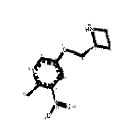 Cc1ncc(OC[C@@H]2CCN2)cc1[N+](=O)[O-]